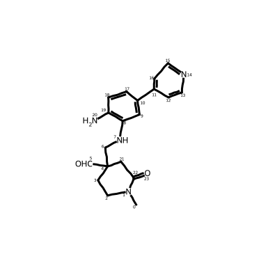 CN1CCC(C=O)(CNc2cc(-c3ccncc3)ccc2N)CC1=O